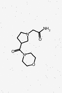 NC(=O)CN1CCC(C(=O)N2CCOCC2)C1